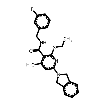 CCSc1nc(N2Cc3ccccc3C2)cc(C)c1C(=O)NCc1cccc(F)c1